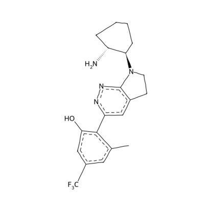 Cc1cc(C(F)(F)F)cc(O)c1-c1cc2c(nn1)N([C@@H]1CCCC[C@H]1N)CC2